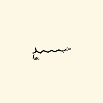 CCCCSC(C)C[CH]CCCCSC(C)CC